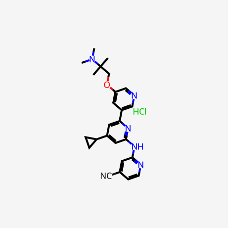 CN(C)C(C)(C)COc1cncc(-c2cc(C3CC3)cc(Nc3cc(C#N)ccn3)n2)c1.Cl